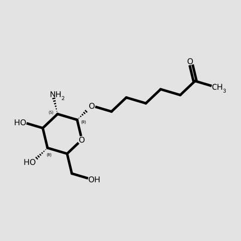 CC(=O)CCCCCO[C@@H]1OC(CO)[C@H](O)C(O)[C@@H]1N